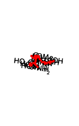 C=C1C[C@H]2C(O)N(C(=O)OCc3ccc(O[C@@H]4O[C@H](C(=O)O)[C@@H](O)[C@H](O)[C@H]4O)c(C(=O)NCCCN)c3)c3cc(OCCCC(=O)Nc4cc(C(=O)Nc5cc(C(=O)NCCCO)n(C)c5)n(C)c4)c(OC)cc3C(=O)N2C1